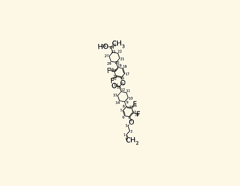 C=CCCOc1ccc(C2CCC(C(=O)Oc3ccc(C4CCC(C(C)O)CC4)c(F)c3F)CC2)c(F)c1F